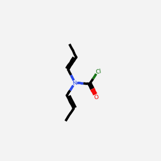 CC=CN(C=CC)C(=O)Cl